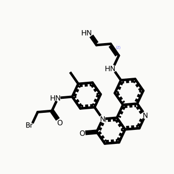 Cc1ccc(-n2c(=O)ccc3cnc4ccc(N/C=C\C=N)cc4c32)cc1NC(=O)CBr